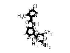 Cc1cc(Cl)cnc1C(=O)Nc1ccc(F)c([C@]2(C)C[C@H](C(F)(F)F)OC(N)=N2)c1